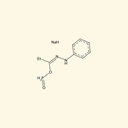 CCC(=NNc1ccccc1)O[PH2]=O.[NaH]